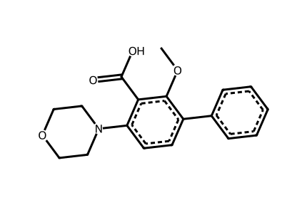 COc1c(-c2ccccc2)ccc(N2CCOCC2)c1C(=O)O